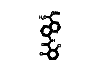 CON(C)c1ccnc2c(NC(=O)c3c(Cl)cccc3Cl)cccc12